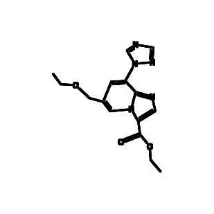 CCOCc1cc(-n2cncn2)c2ncc(C(=O)OCC)n2c1